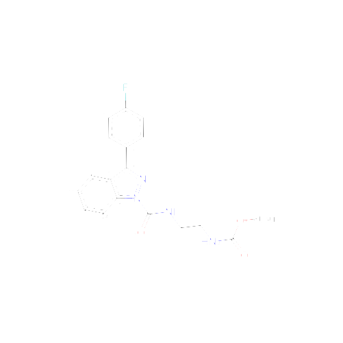 CC(C)(C)OC(=O)NCCNC(=O)n1nc(-c2ccc(F)cc2)c2c[c]ccc21